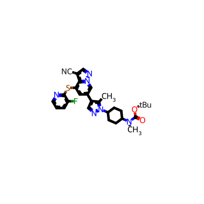 Cc1c(-c2cc(Sc3ncccc3F)c3c(C#N)cnn3c2)cnn1C1CCC(N(C)C(=O)OC(C)(C)C)CC1